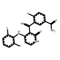 N=C(c1cc(C(N)=O)ccc1F)c1c(Nc2c(F)cccc2F)cc[nH]c1=O